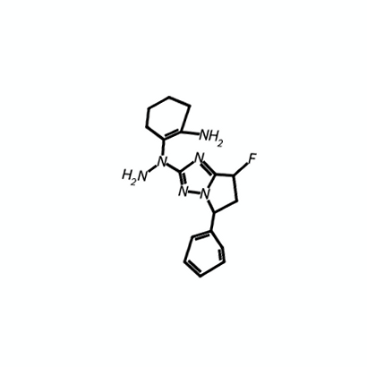 NC1=C(N(N)c2nc3n(n2)C(c2ccccc2)CC3F)CCCC1